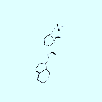 O=C(NOC1COC2CCNCC21)[C@@H]1CC[C@@H]2CN1C(=O)N2OS(=O)(=O)O